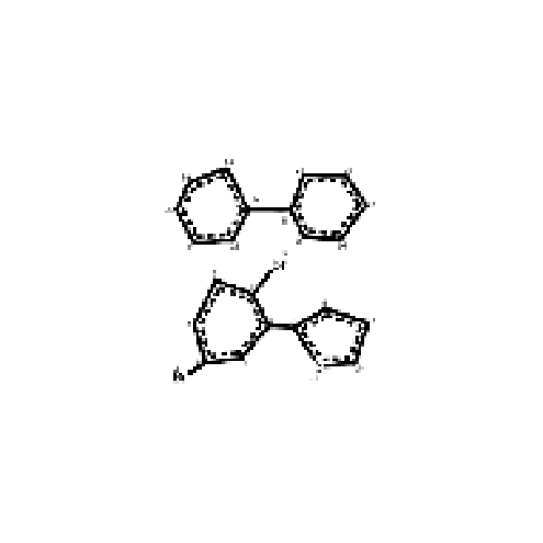 Brc1ccc(Br)c(-c2cccs2)c1.c1ccc(-c2ccccc2)cc1